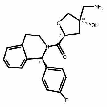 NC[C@]1(O)CO[C@H](C(=O)N2CCc3ccccc3[C@@H]2c2ccc(F)cc2)C1